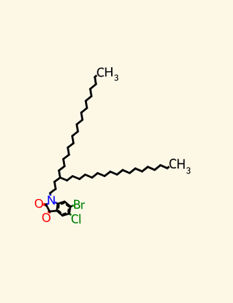 CCCCCCCCCCCCCCCCCCC(CCCCCCCCCCCCCCCCCC)CCCN1C(=O)C(=O)c2cc(Cl)c(Br)cc21